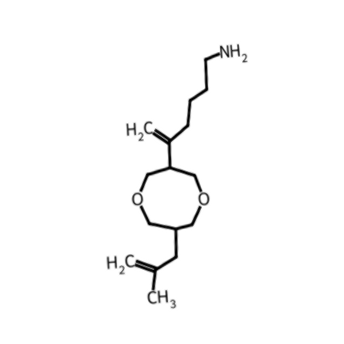 C=C(C)CC1COCC(C(=C)CCCCN)COC1